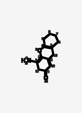 NC1=C2OC3=C(CCCC3)CC2=CC(=O)C1